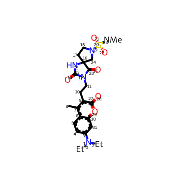 CCN(CC)c1ccc2c(C)c(CCN3C(=O)NC4(CCN(S(=O)(=O)NC)C4)C3=O)c(=O)oc2c1